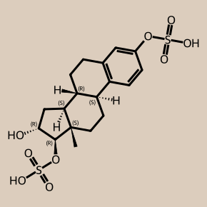 C[C@]12CC[C@@H]3c4ccc(OS(=O)(=O)O)cc4CC[C@H]3[C@@H]1C[C@@H](O)[C@@H]2OS(=O)(=O)O